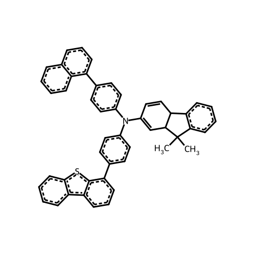 CC1(C)c2ccccc2C2C=CC(N(c3ccc(-c4cccc5ccccc45)cc3)c3ccc(-c4cccc5c4sc4ccccc45)cc3)=CC21